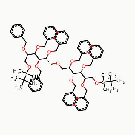 CC(C)(C)[Si](C)(C)OC[C@@H](OCc1ccccc1)[C@@H](OCc1ccccc1)[C@H](OCc1ccccc1)[C@@H](COC[C@@H](OCc1ccccc1)[C@@H](OCc1ccccc1)[C@H](OCc1ccccc1)[C@@H](CO[Si](C)(C)C(C)(C)C)OCc1ccccc1)OCc1ccccc1